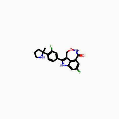 CC1(c2ccc(-c3[nH]c4cc(F)cc5c4c3CONC5=O)cc2F)CCCN1